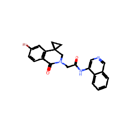 O=C(CN1CC2(CC2)c2cc(Br)ccc2C1=O)Nc1cncc2ccccc12